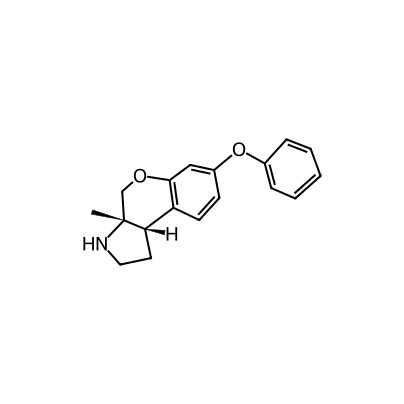 C[C@@]12COc3cc(Oc4ccccc4)ccc3[C@@H]1CCN2